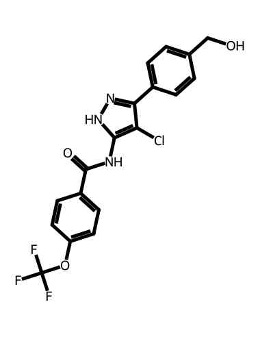 O=C(Nc1[nH]nc(-c2ccc(CO)cc2)c1Cl)c1ccc(OC(F)(F)F)cc1